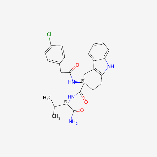 CC(C)[C@H](NC(=O)[C@@]1(NC(=O)Cc2ccc(Cl)cc2)CCc2[nH]c3ccccc3c2C1)C(N)=O